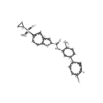 N=S(=O)(c1ccc2sc(C(=O)Nc3cc(-c4ccc(F)cc4)ccc3N)cc2c1)C1CC1